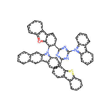 c1ccc2cc3c(cc2c1)c1ccccc1n3-c1c(-c2nc(-c3cccc4c3sc3ccccc34)nc(-n3c4ccccc4c4ccccc43)n2)ccc2c1oc1ccccc12